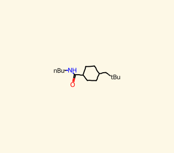 CCCCNC(=O)C1CCC(CC(C)(C)C)CC1